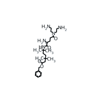 CC(C)(CCC(C)(C)NC(=O)[C@@H](N)CCC(=O)N(CCN)CCN)CC(=O)OCc1ccccc1